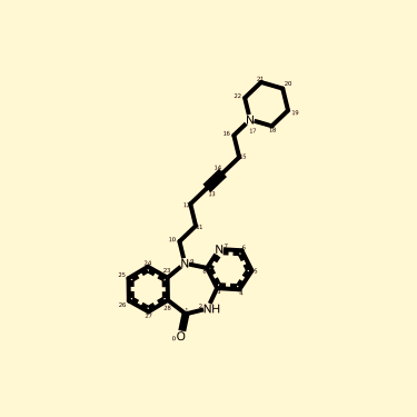 O=C1Nc2cccnc2N(CCCC#CCCN2CCCCC2)c2ccccc21